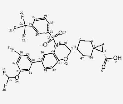 O=C(O)[C@H]1CC12CCC([C@H]1CN(S(=O)(=O)c3cccc(C(F)(F)F)c3)c3cc(-c4cc(F)cc(OC(F)F)c4)ccc3O1)CC2